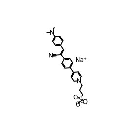 CN(C)c1ccc(/C=C(\C#N)c2ccc(C3=CCN(CCCS(=O)(=O)[O-])C=C3)cc2)cc1.[Na+]